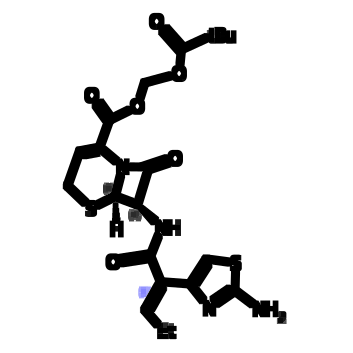 CC/C=C(/C(=O)N[C@@H]1C(=O)N2C(C(=O)OCOC(=O)C(C)(C)C)=CCS[C@H]12)c1csc(N)n1